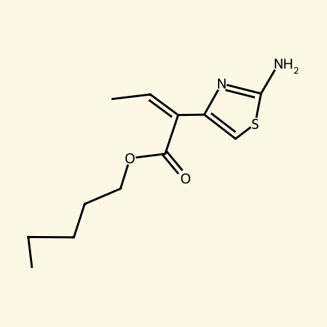 CC=C(C(=O)OCCCCC)c1csc(N)n1